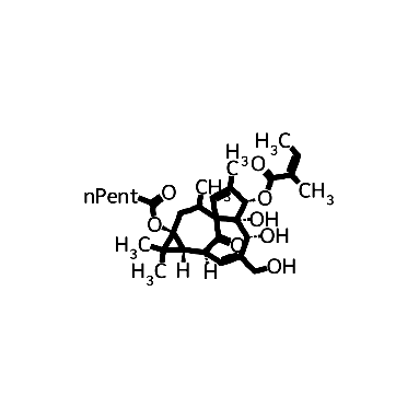 C/C=C(/C)C(=O)O[C@H]1C(C)=CC23C(=O)[C@@H](C=C(CO)[C@@H](O)[C@]12O)[C@@H]1C(C)(C)[C@]1(OC(=O)CCCCC)CC3C